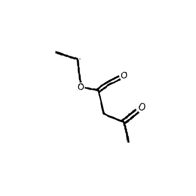 C[CH]OC(=O)CC(C)=O